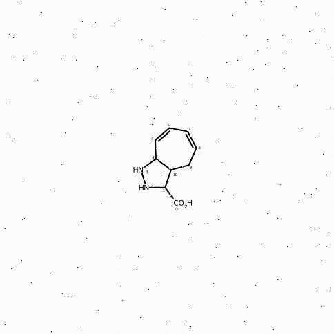 O=C(O)C1NNC2C=CC=CCC21